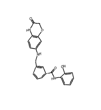 O=C1COc2cc(NCc3cccc(C(=O)Nc4ccccc4O)c3)ccc2N1